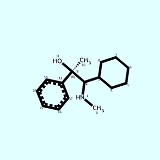 CNC(C1CCCCC1)[C@](C)(O)c1ccccc1